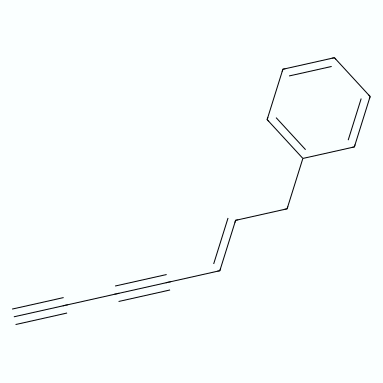 C#CC#CC=CCc1ccccc1